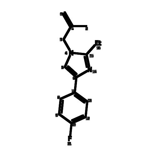 C=C(C)Cn1cc(-c2ccc(F)cc2)nc1CC